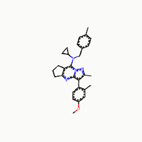 COc1ccc(-c2c(C)nn3c(N(Cc4ccc(C)cc4)C4CC4)c4c(nc23)CCC4)c(C)c1